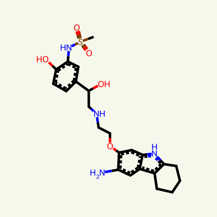 CS(=O)(=O)Nc1cc(C(O)CNCCOc2cc3[nH]c4c(c3cc2N)CCCC4)ccc1O